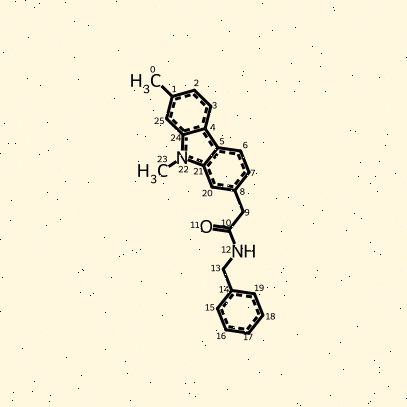 Cc1ccc2c3ccc(CC(=O)NCc4ccccc4)cc3n(C)c2c1